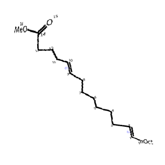 CCCCCCCC/C=C/CCCCCC/C=C/CCCC(=O)OC